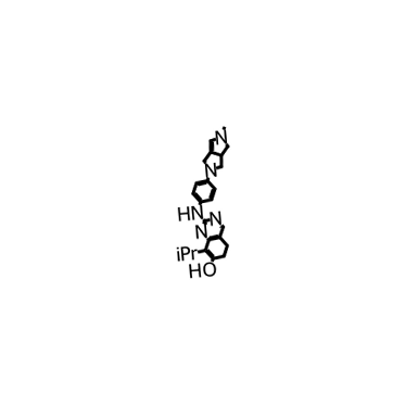 CC(C)C1=C(O)CCc2cnc(Nc3ccc(N4CC5=CN(C)CC5C4)cc3)nc21